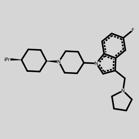 CC(C)[C@H]1CC[C@@H](N2CCC(n3cc(CN4CCCC4)c4cc(F)ccc43)CC2)CC1